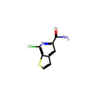 NC(=O)c1cc2ccsc2c(Cl)n1